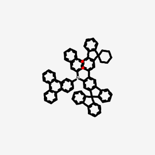 c1ccc2c(c1)-c1ccc(-c3cc4c(cc3N(c3ccc5ccccc5c3)c3ccc5c6ccccc6c6ccccc6c5c3)C3(c5ccccc5-c5ccccc53)c3ccccc3-4)cc1C21CCCCC1